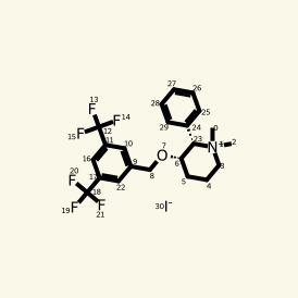 C[N+]1(C)CCC[C@H](OCc2cc(C(F)(F)F)cc(C(F)(F)F)c2)[C@@H]1c1ccccc1.[I-]